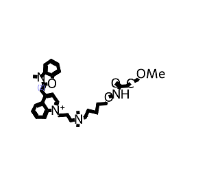 COCCCC(=O)NOCCCCC[N+](C)(C)CCC[n+]1ccc(/C=C2\Oc3ccccc3N2C)c2ccccc21